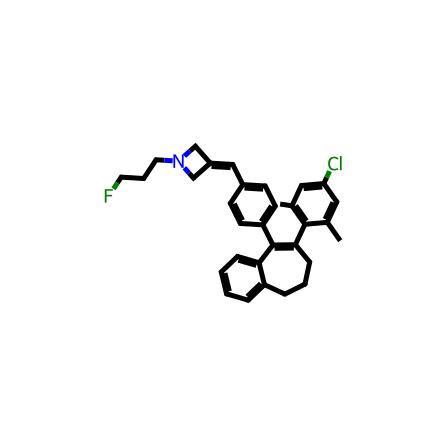 Cc1cc(Cl)cc(C)c1C1=C(c2ccc(C=C3CN(CCCF)C3)cc2)c2ccccc2CCC1